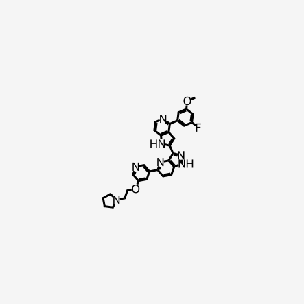 COc1cc(F)cc(-c2nccc3[nH]c(-c4n[nH]c5ccc(-c6cncc(OCCN7CCCC7)c6)nc45)cc23)c1